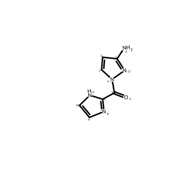 Nc1ccn(C(=O)c2ncc[nH]2)n1